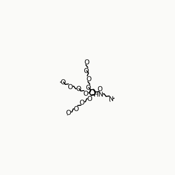 COCCOCCOCCOc1cc(C(=O)NCCCN(C)C)cc(OCCOCCOCCOC)c1OCCOCCOCCOC